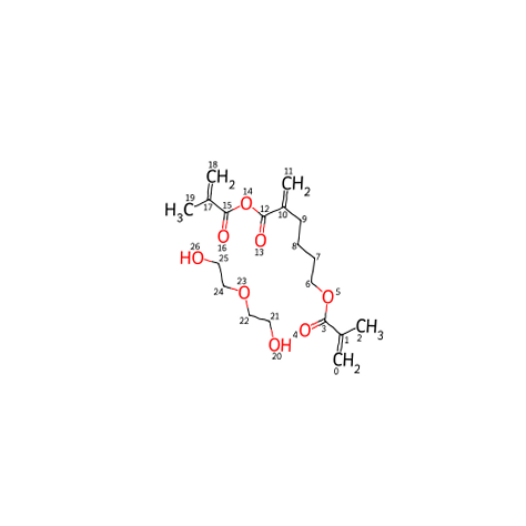 C=C(C)C(=O)OCCCCC(=C)C(=O)OC(=O)C(=C)C.OCCOCCO